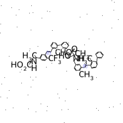 Cc1ccc(CNC(C)(CO)C(=O)Oc2cccc(-c3cccc(/C=C/c4cc(C(C)NCC(=O)O)ccc4C(F)(F)F)c3C)c2)cc1/C=C/c1cccc(-c2ccccc2)c1C